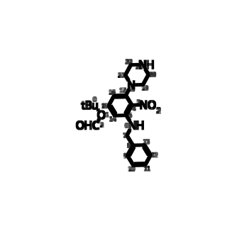 CC(C)(C)OC=O.O=[N+]([O-])c1c(NCc2ccccc2)cccc1N1CCNCC1